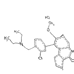 CCN(CC)Cc1ccc(-c2c(OC)ccc3[nH]c(=O)c4sccc4c23)cc1Cl.Cl